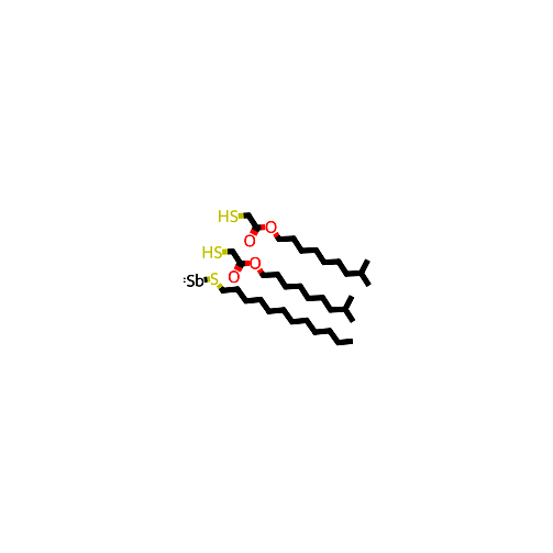 CC(C)CCCCCCCOC(=O)CS.CC(C)CCCCCCCOC(=O)CS.CCCCCCCCCCCC[S][Sb]